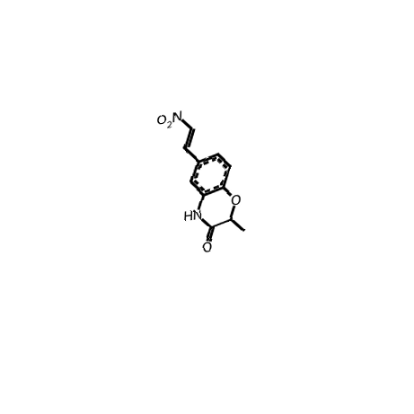 CC1Oc2ccc(C=C[N+](=O)[O-])cc2NC1=O